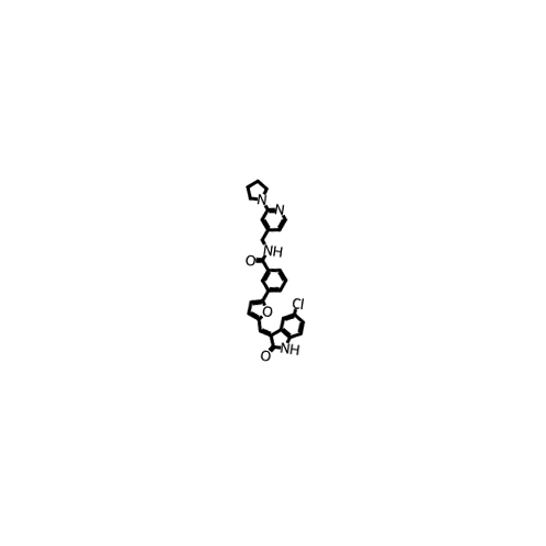 O=C1Nc2ccc(Cl)cc2/C1=C\c1ccc(-c2cccc(C(=O)NCc3ccnc(N4CCCC4)c3)c2)o1